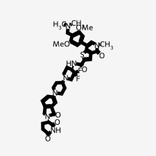 COc1cc(-c2cn(C)c(=O)c3cc(C(=O)N[C@@H]4CCN(C5CCN(c6ccc7c(c6)C(=O)N([C@H]6CCC(=O)NC6=O)C7)CC5)CC4(F)F)sc23)cc(OC)c1CN(C)C